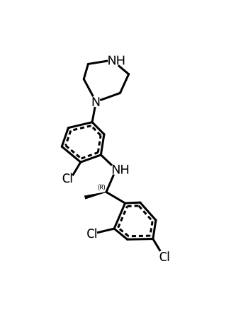 C[C@@H](Nc1cc(N2CCNCC2)ccc1Cl)c1ccc(Cl)cc1Cl